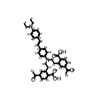 CCN(CC)c1ccc(C=Cc2ccc(N(CCc3cc(C(C)=O)ccc3C(=O)O)CCc3cc(C(C)=O)ccc3C(=O)O)cc2)cc1